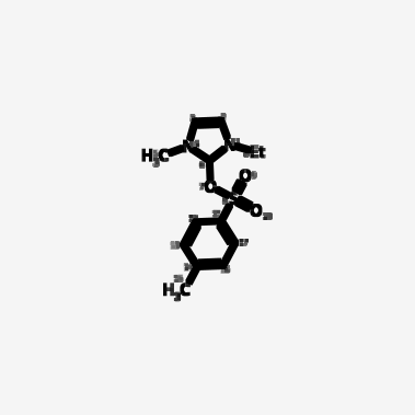 CCN1C=CN(C)C1OS(=O)(=O)c1ccc(C)cc1